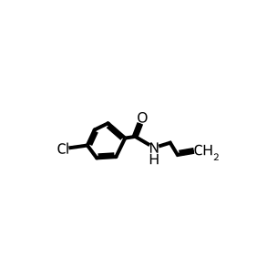 C=CCNC(=O)c1ccc(Cl)cc1